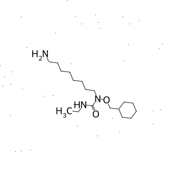 CCNC(=O)N(CCCCCCCCN)OCC1CCCCC1